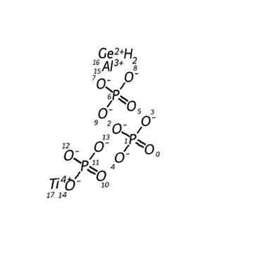 O=P([O-])([O-])[O-].O=P([O-])([O-])[O-].O=P([O-])([O-])[O-].[Al+3].[GeH2+2].[Ti+4]